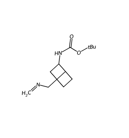 C=NCC12CCC1C(NC(=O)OC(C)(C)C)C2